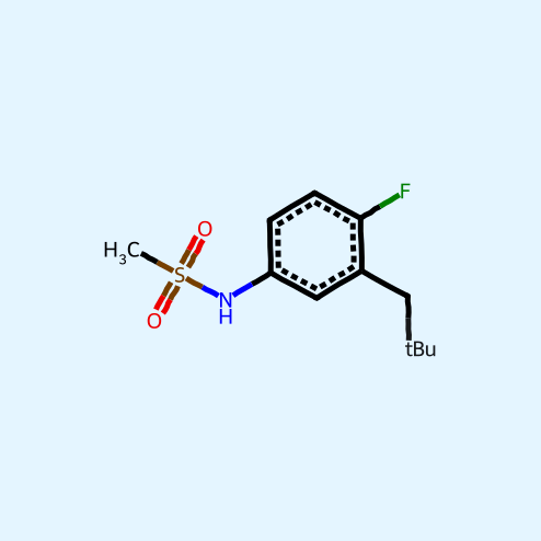 CC(C)(C)Cc1cc(NS(C)(=O)=O)ccc1F